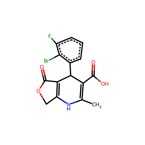 CC1=C(C(=O)O)C(c2cccc(F)c2Br)C2=C(COC2=O)N1